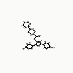 O=C(Cn1nc(-c2ccc(F)cc2)nc1-c1ccc(F)cc1)N1CCN(C2=NCCCS2)CC1